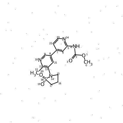 COC(=O)Nc1cc(-c2cnc(C)c(N3CCCS3(=O)=O)c2)ccn1